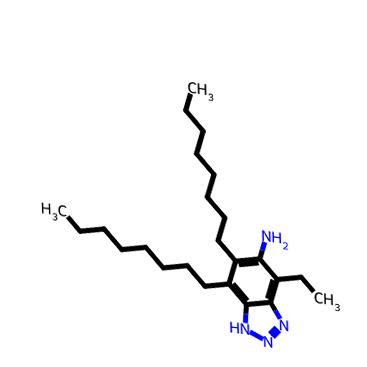 CCCCCCCCc1c(N)c(CC)c2nn[nH]c2c1CCCCCCCC